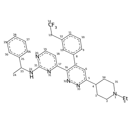 CCN1CCC(c2cc(-c3cccc(CC(F)(F)F)c3)c(-c3ccnc(NC(C)c4ccccc4)n3)nn2)CC1